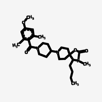 CCCCC1N(C)C(=O)OC12CCN(C1CCN(C(=O)c3c(C)cc(OC)cc3C)CC1)CC2